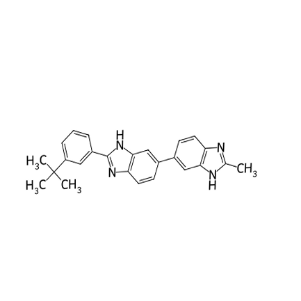 Cc1nc2ccc(-c3ccc4nc(-c5cccc(C(C)(C)C)c5)[nH]c4c3)cc2[nH]1